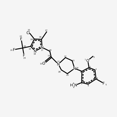 COc1cc(F)cc(N)c1N1CCN(C(=O)Cn2nc(C(F)(F)F)c(Cl)c2C)CC1